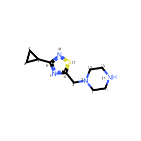 C1CN(Cc2nc(C3CC3)ns2)CCN1